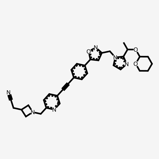 CC(OC1CCCCO1)c1nccn1Cc1cc(-c2ccc(C#Cc3ccc(CN4CC(CC#N)C4)nc3)cc2)on1